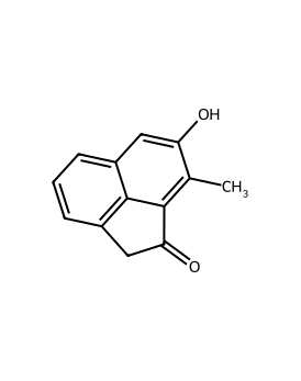 Cc1c(O)cc2cccc3c2c1C(=O)C3